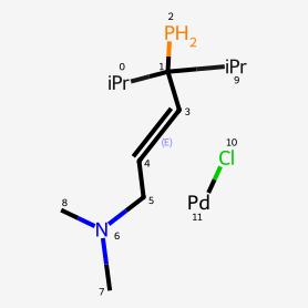 CC(C)C(P)(/C=C/CN(C)C)C(C)C.[Cl][Pd]